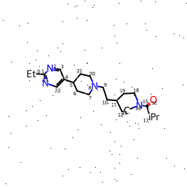 CCc1ncc(C2CCN(CCC3CCN(C(=O)C(C)C)CC3)CC2)cn1